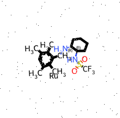 Cc1cc(C)c(C)c(C)c1C.N[C@@H]1CCCC[C@H]1NS(=O)(=O)C(F)(F)F.[Ru]